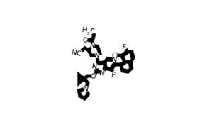 C=CC(=O)N1CCN(c2nc(OCC3(CN4CCCC4)CC3)nc3c(F)c(-c4cccc5ccc(F)c(Cl)c45)ncc23)CC1CC#N